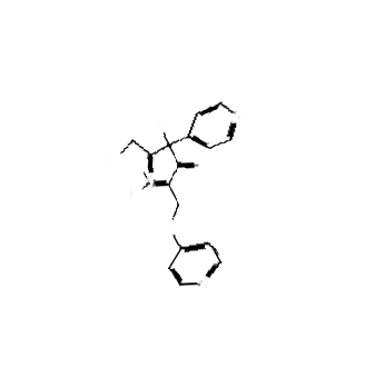 O=C(C(CSc1ccncc1)=NO)C(S)(C([CH]S)=NO)c1ccncc1